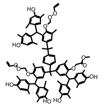 C=COOCOc1c(C)cc(C(C)(C)c2ccc(C(C)(c3cc(C)c(OCOOC=C)c(C(c4cc(C)c(O)cc4C)c4cc(C)c(O)cc4C)c3)c3cc(C)c(OCC(=O)OC)c(C(c4cc(C)c(O)cc4C)c4cc(C)c(O)cc4C)c3)cc2)cc1C(c1cc(C)c(O)cc1C)c1cc(C)c(O)cc1C